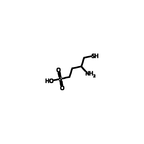 NC(CS)CCS(=O)(=O)O